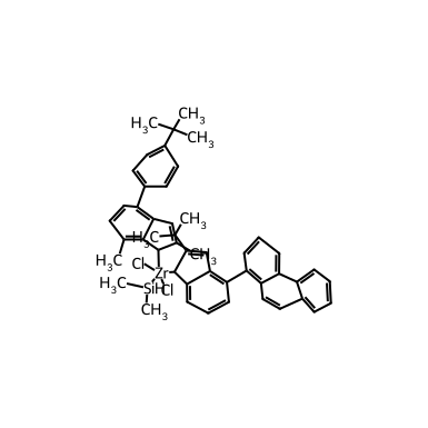 CC1=Cc2c(-c3ccc(C(C)(C)C)cc3)ccc(C)c2[CH]1[Zr]([Cl])([Cl])([CH]1C(C(C)C)=Cc2c(-c3cccc4c3ccc3ccccc34)cccc21)[SiH](C)C